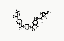 Cn1c(Br)cnc1C(=O)Nc1ccc(C(=O)N2CCN(C(=O)N3CCN(C(=O)OC(C)(C)C)CC3)CC2)c(Cl)c1